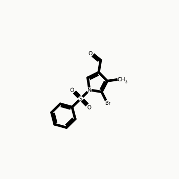 Cc1c(C=O)cn(S(=O)(=O)c2ccccc2)c1Br